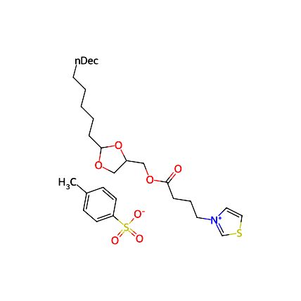 CCCCCCCCCCCCCCCC1OCC(COC(=O)CCC[n+]2ccsc2)O1.Cc1ccc(S(=O)(=O)[O-])cc1